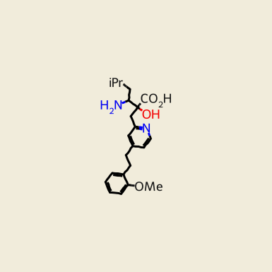 COc1ccccc1CCc1ccnc(CC(O)(C(=O)O)C(N)CC(C)C)c1